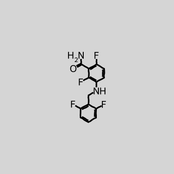 NC(=O)c1c(F)ccc(NCc2c(F)cccc2F)c1F